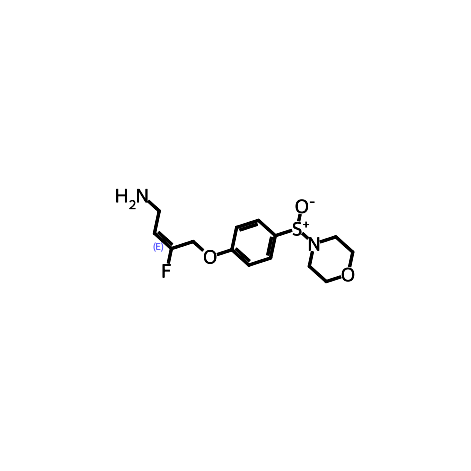 NC/C=C(/F)COc1ccc([S+]([O-])N2CCOCC2)cc1